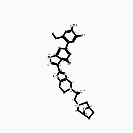 CCc1cc(O)c(F)cc1-c1cc(F)c2c(-c3nc4c([nH]3)CCN(C(=O)CN3CC5CCC(C3)O5)C4)n[nH]c2c1